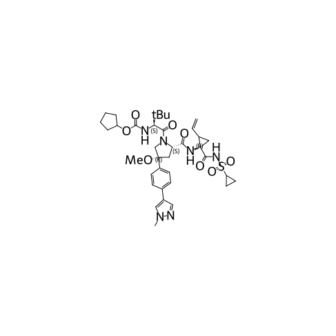 C=CC1C[C@]1(NC(=O)[C@@H]1C[C@@](OC)(c2ccc(-c3cnn(C)c3)cc2)CN1C(=O)[C@@H](NC(=O)OC1CCCC1)C(C)(C)C)C(=O)NS(=O)(=O)C1CC1